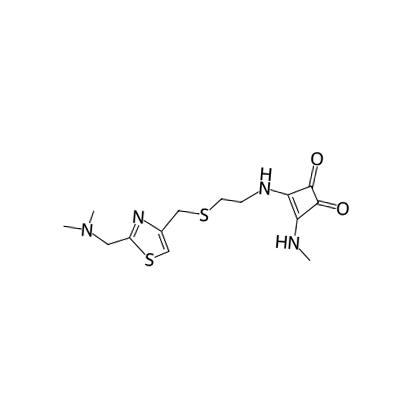 CNc1c(NCCSCc2csc(CN(C)C)n2)c(=O)c1=O